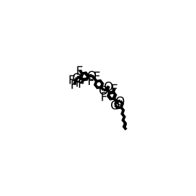 C/C=C/CCCCC1COC(c2cc(F)c(C(=O)OC3CCC(C(F)(F)Oc4cc(F)c(OC(F)(F)F)c(F)c4)CC3)c(F)c2)OC1